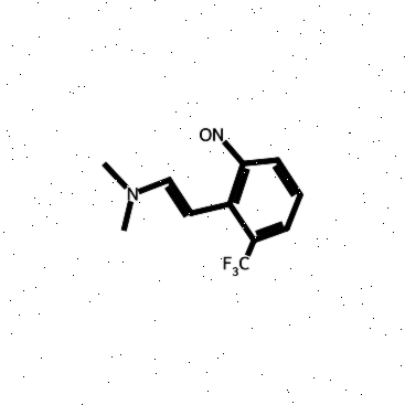 CN(C)/C=C/c1c(N=O)cccc1C(F)(F)F